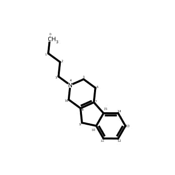 CCCCN1CCC2=C(Cc3ccccc32)C1